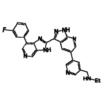 CCNCc1cncc(-c2cnc3[nH]nc(-c4nc5c(-c6cccc(F)c6)cncc5[nH]4)c3c2)c1